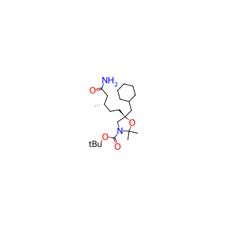 C[C@@H](CC[C@]1(CC2CCCCC2)CN(C(=O)OC(C)(C)C)C(C)(C)O1)CC(N)=O